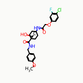 COc1ccc(CNC(=O)C23CCC(NC(=O)COc4ccc(Cl)c(F)c4)(CC2)CC3O)cc1